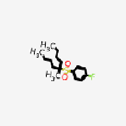 CCCCC(C)(CCCC)S(=O)(=O)c1ccc(F)cc1